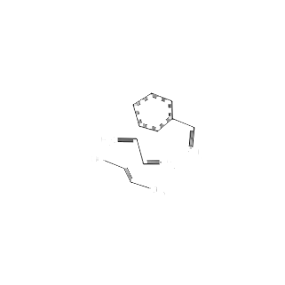 C=CC=C.C=Cc1ccccc1.CC=CO